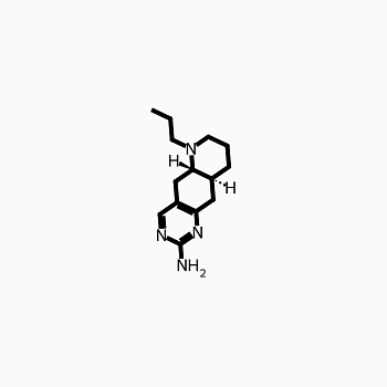 CCCN1CCC[C@H]2Cc3nc(N)ncc3C[C@@H]21